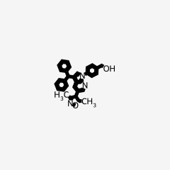 CC1=NOC(C)C1c1cnc2c(c1)c(C(c1ccccc1)c1ccccc1)cn2-c1ccc(CO)cc1